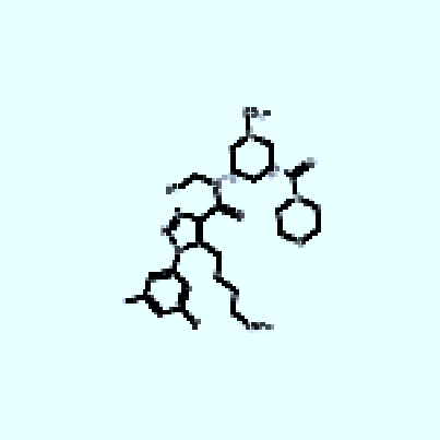 COCCCCc1c(C(=O)N(CC(C)C)[C@H]2C[C@@H](C(=O)N3CCOCC3)CN(C(=O)O)C2)nnn1-c1cc(F)cc(F)c1